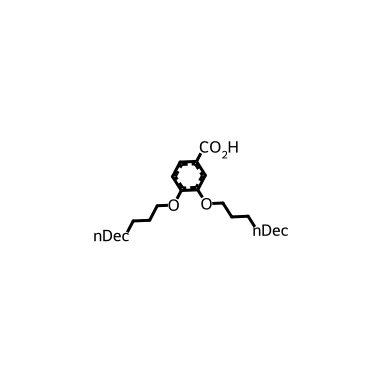 CCCCCCCCCCCCCOc1ccc(C(=O)O)cc1OCCCCCCCCCCCCC